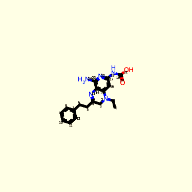 CCN1CC(CCc2ccccc2)=Nc2c1cc(NC(=O)O)nc2N